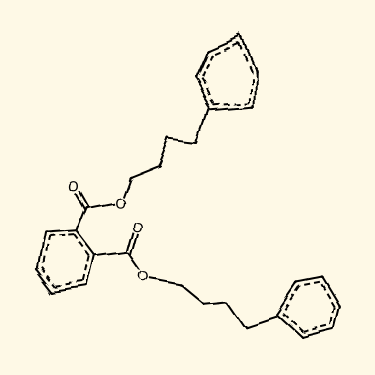 O=C(OCCCCc1ccccc1)c1ccccc1C(=O)OCCCCc1ccccc1